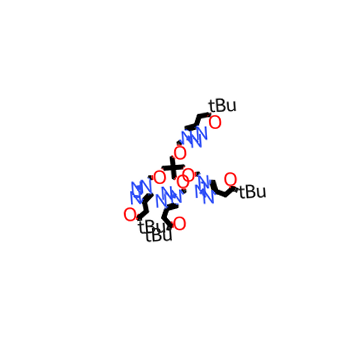 CC(C)(C)C(=O)Cc1cn(COCC(COCn2cc(CC(=O)C(C)(C)C)nn2)(COCn2cc(CC(=O)C(C)(C)C)nn2)COCn2cc(CC(=O)C(C)(C)C)nn2)nn1